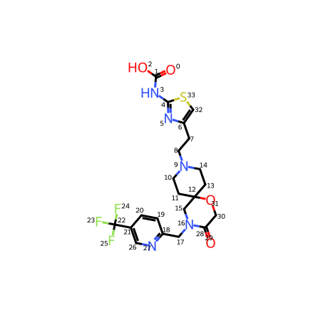 O=C(O)Nc1nc(CCN2CCC3(CC2)CN(Cc2ccc(C(F)(F)F)cn2)C(=O)CO3)cs1